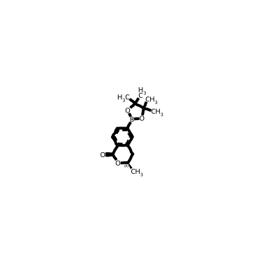 C[C@@H]1Cc2cc(B3OC(C)(C)C(C)(C)O3)ccc2C(=O)O1